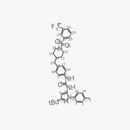 Cc1ccc(-n2nc(C(C)(C)C)cc2NC(=O)Nc2ccc(CC3CCN(S(=O)(=O)c4cccc(C(F)(F)F)c4)CC3)cc2)cc1